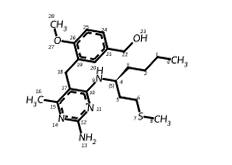 CCCC[C@@H](CCSC)Nc1nc(N)nc(C)c1Cc1cc(CO)ccc1OC